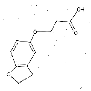 O=C(O)CCOc1ccc2c(c1)CCO2